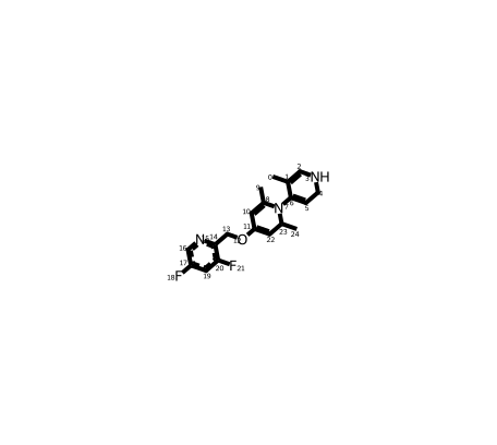 CC1=CNCC=C1N1C(C)=CC(OCc2ncc(F)cc2F)=CC1C